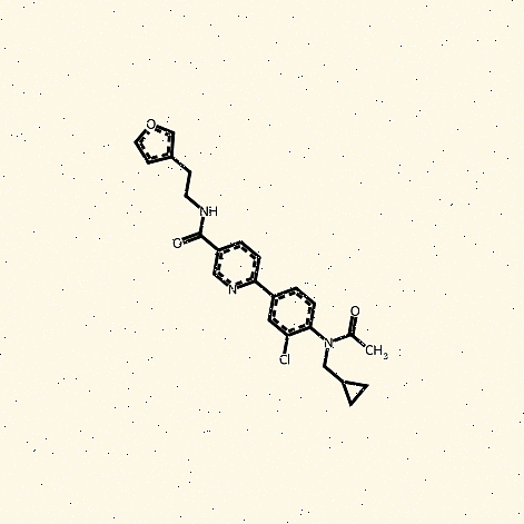 CC(=O)N(CC1CC1)c1ccc(-c2ccc(C(=O)NCCc3ccoc3)cn2)cc1Cl